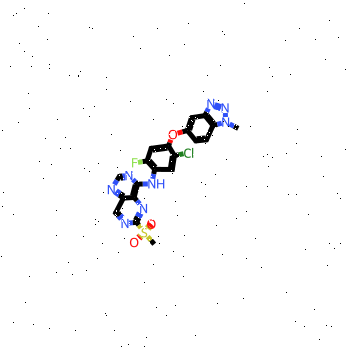 Cn1nnc2cc(Oc3cc(F)c(Nc4ncnc5cnc(S(C)(=O)=O)nc45)cc3Cl)ccc21